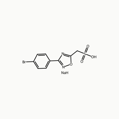 O=S(=O)(O)Cc1nc(-c2ccc(Br)cc2)no1.[NaH]